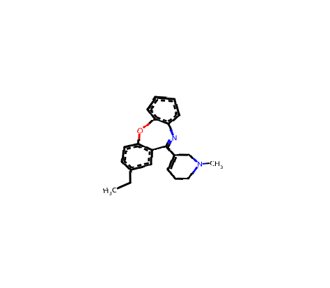 CCc1ccc2c(c1)C(C1=CCCN(C)C1)=Nc1ccccc1O2